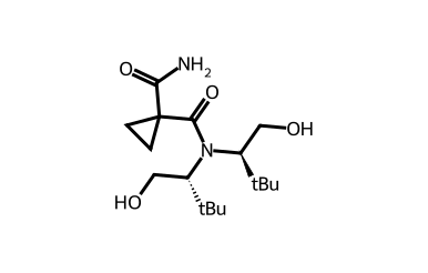 CC(C)(C)[C@H](CO)N(C(=O)C1(C(N)=O)CC1)[C@@H](CO)C(C)(C)C